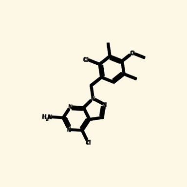 COc1c(C)cc(Cn2ncc3c(Cl)nc(N)nc32)c(Cl)c1C